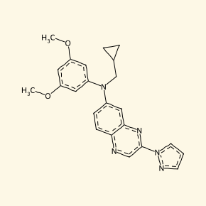 COc1cc(OC)cc(N(CC2CC2)c2ccc3ncc(-n4cccn4)nc3c2)c1